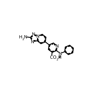 CN(c1ccccc1)c1ncc(-c2ccn3nc(N)nc3c2)cc1C(=O)O